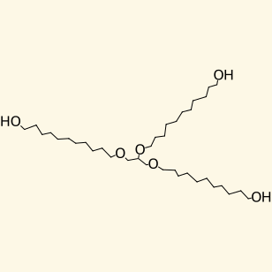 OCCCCCCCCCCCOCC(COCCCCCCCCCCCO)OCCCCCCCCCCCO